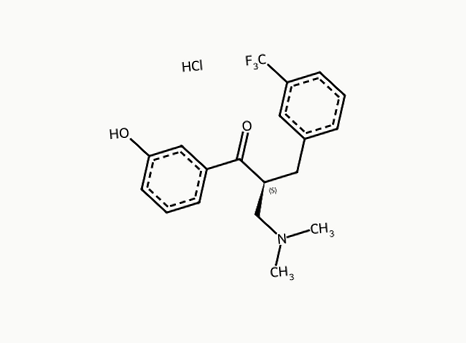 CN(C)C[C@H](Cc1cccc(C(F)(F)F)c1)C(=O)c1cccc(O)c1.Cl